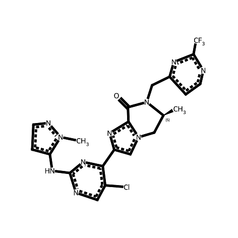 C[C@H]1Cn2cc(-c3nc(Nc4ccnn4C)ncc3Cl)nc2C(=O)N1Cc1ccnc(C(F)(F)F)n1